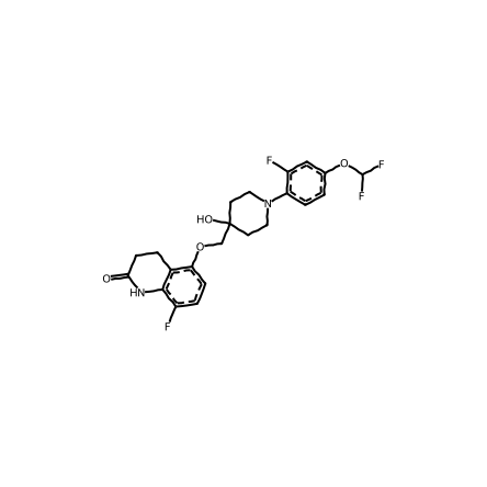 O=C1CCc2c(OCC3(O)CCN(c4ccc(OC(F)F)cc4F)CC3)ccc(F)c2N1